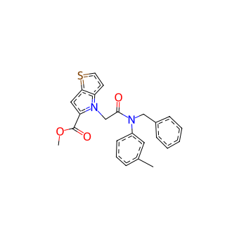 COC(=O)c1cc2sccc2n1CC(=O)N(Cc1ccccc1)c1cccc(C)c1